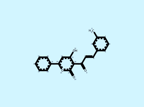 Cc1cccc(C=CC(=O)c2c(O)cc(-c3ccccc3)oc2=O)c1